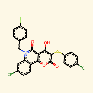 O=c1oc2c(c(O)c1Sc1ccc(Cl)cc1)c(=O)n(Cc1ccc(F)cc1)c1cc(Cl)ccc21